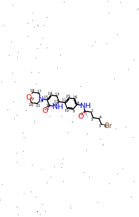 O=C(CCCCBr)Nc1ccc(C2CC=C(N3CCOCC3)C(=O)N2)cc1